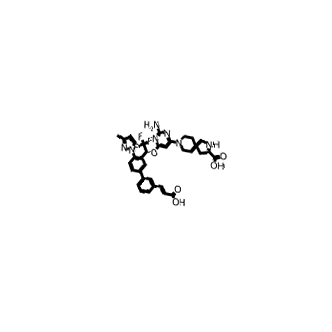 Cc1ccn(-c2ccc(-c3cccc(/C=C/C(=O)O)c3)cc2[C@@H](Oc2cc(N3CCC4(CC3)CNC(C(=O)O)C4)nc(N)n2)C(F)(F)F)n1